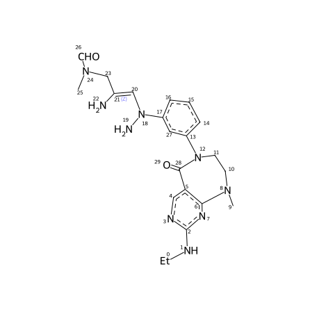 CCNc1ncc2c(n1)N(C)CCN(c1cccc(N(N)/C=C(\N)CN(C)C=O)c1)C2=O